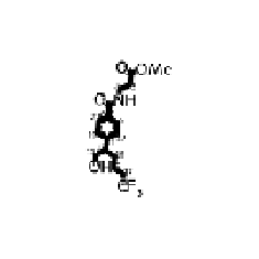 COC(=O)CCNC(=O)c1ccc(C(CO)CCCC(F)(F)F)cc1